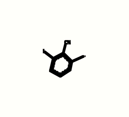 [CH2]c1cccc(I)c1C#N